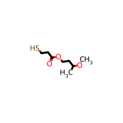 COC(C)CCOC(=O)CCS